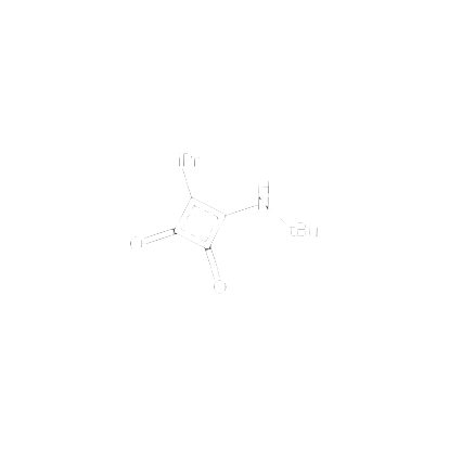 CC(C)c1c(NC(C)(C)C)c(=O)c1=O